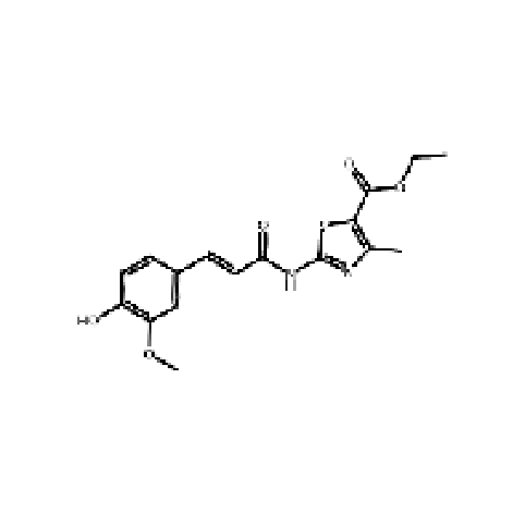 CCOC(=O)c1sc(NC(=O)/C=C/c2ccc(O)c(OC)c2)nc1C